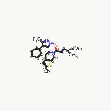 CCn1cc(-c2ccccc2[C@@H]2CN(C(=O)/C=C/[C@H](C)NC)Cc3sc(C#N)cc32)c(C(F)(F)F)n1